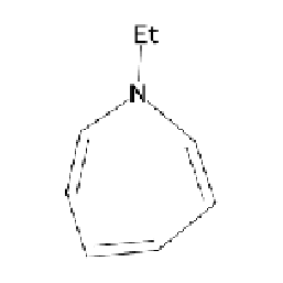 CCN1C=CC=CC=C1